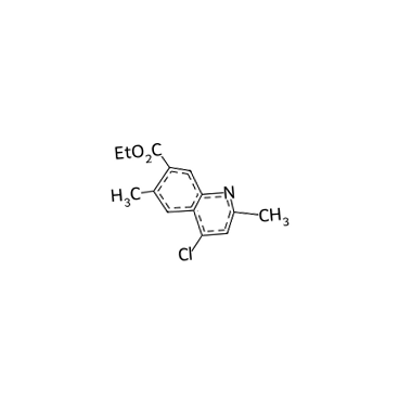 CCOC(=O)c1cc2nc(C)cc(Cl)c2cc1C